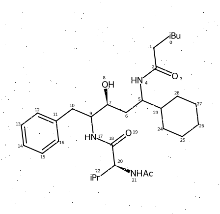 CCC(C)CC(=O)NC(C[C@H](O)C(Cc1ccccc1)NC(=O)[C@@H](NC(C)=O)C(C)C)C1CCCCC1